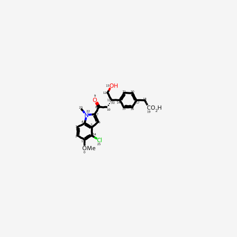 COc1ccc2c(cc(C(=O)C[C@H](CO)c3ccc(CC(=O)O)cc3)n2C)c1Cl